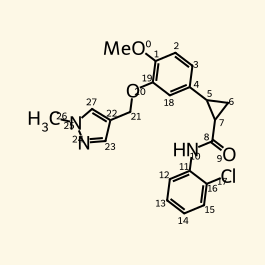 COc1ccc(C2CC2C(=O)Nc2ccccc2Cl)cc1OCc1cnn(C)c1